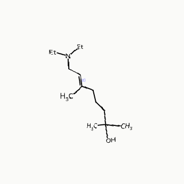 CCN(CC)C/C=C(\C)CCCC(C)(C)O